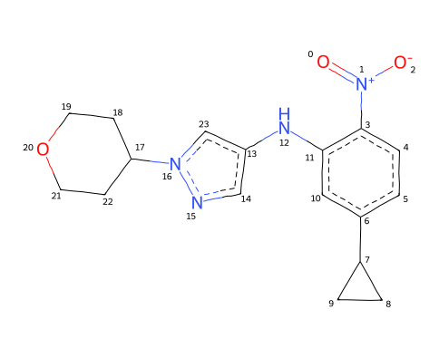 O=[N+]([O-])c1ccc(C2CC2)cc1Nc1cnn(C2CCOCC2)c1